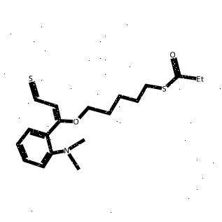 CCC(=O)SCCCCCO/C(=C/C=S)c1ccccc1N(C)C